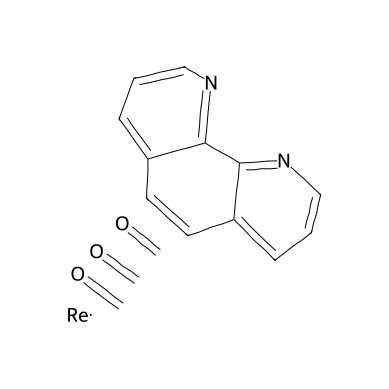 C=O.C=O.C=O.[Re].c1cnc2c(c1)ccc1cccnc12